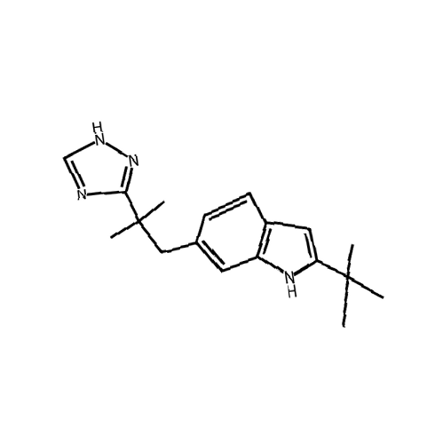 CC(C)(C)c1cc2ccc(CC(C)(C)c3nc[nH]n3)cc2[nH]1